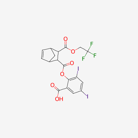 O=C(O)c1cc(I)cc(I)c1OC(=O)C1C2C=CC(C2)C1C(=O)OCC(F)(F)F